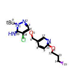 CC(C)(C)n1ncc(OCc2ccc(OCCCI)nc2)c(Cl)c1=N